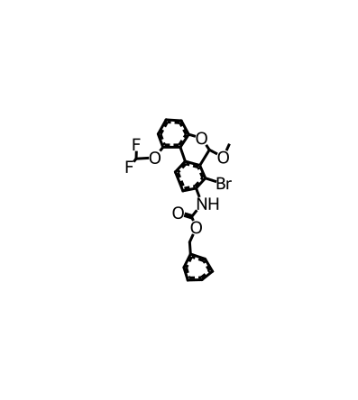 COC1Oc2cccc(OC(F)F)c2-c2ccc(NC(=O)OCc3ccccc3)c(Br)c21